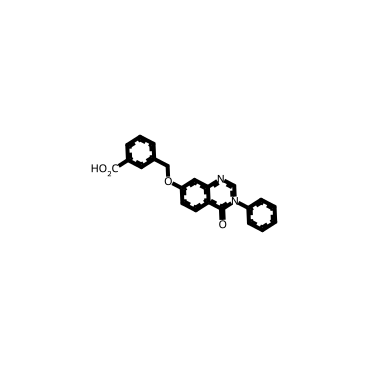 O=C(O)c1cccc(COc2ccc3c(=O)n(-c4ccccc4)cnc3c2)c1